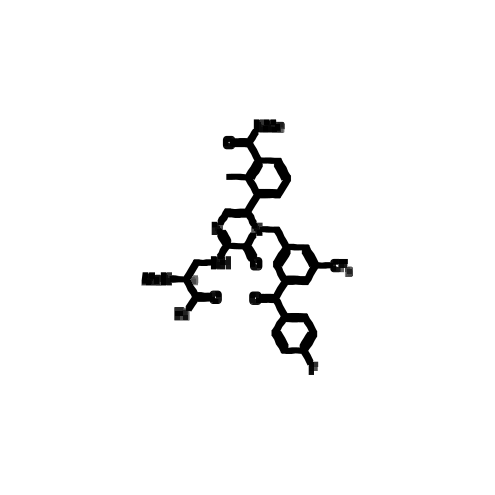 CCC(=O)[C@H](CNc1ncc(-c2cccc(C(=O)NC)c2C)n(Cc2cc(C(=O)c3ccc(F)cc3)cc(C(F)(F)F)c2)c1=O)NC